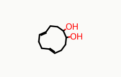 OC1CC/C=C/CC/C=C/CCC1O